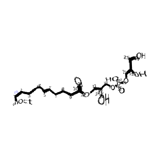 CCCCCCCC/C=C\CCCCCCCC(=O)OC[C@@H](O)COP(=O)(O)OCC(O)CO